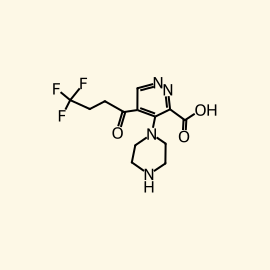 O=C(CCC(F)(F)F)c1cnnc(C(=O)O)c1N1CCNCC1